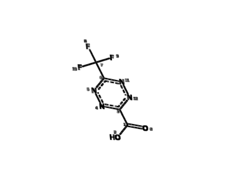 O=C(O)c1nnc(C(F)(F)F)nn1